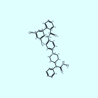 CCNC(=O)C(c1ccccc1)C1CCN(c2ccc(NC(=O)c3ccccc3-c3cc(Cl)cc(Cl)c3)cc2)CC1